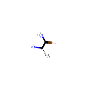 C[C@H](N)C(N)=S